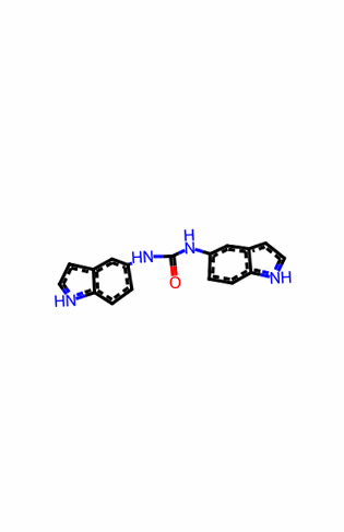 O=C(Nc1ccc2[nH]ccc2c1)Nc1ccc2[nH]ccc2c1